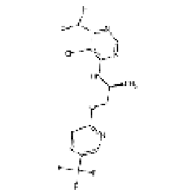 C[C@@H](COc1ccc(C(F)(F)F)cn1)Nc1ncnc(C(F)F)c1Cl